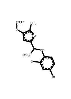 CCOC(=O)Oc1cc(C(Nc2ccc(Br)cc2Cl)C(=O)OCC)oc1C